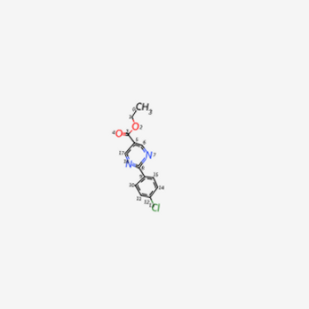 CCOC(=O)c1cnc(-c2ccc(Cl)cc2)nc1